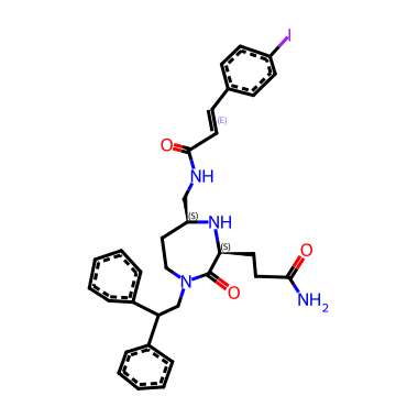 NC(=O)CC[C@@H]1N[C@H](CNC(=O)/C=C/c2ccc(I)cc2)CCN(CC(c2ccccc2)c2ccccc2)C1=O